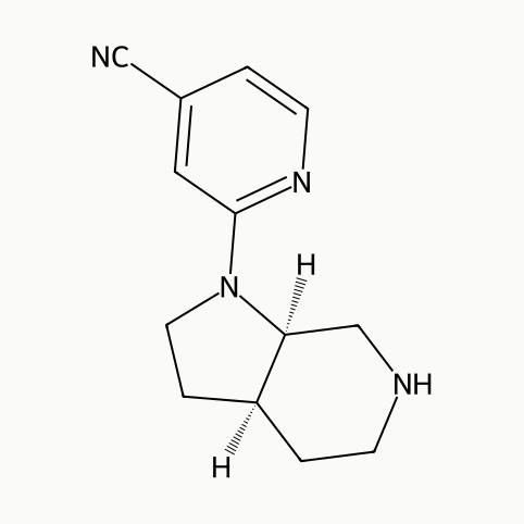 N#Cc1ccnc(N2CC[C@@H]3CCNC[C@@H]32)c1